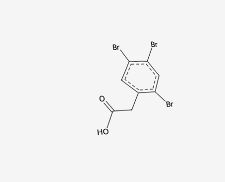 O=C(O)Cc1cc(Br)c(Br)cc1Br